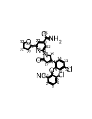 N#Cc1cccc(Cl)c1Oc1cc(Cl)ccc1[C@H]1CC(=O)N(c2cc(C(N)=O)cc(C3CCCO3)n2)C1